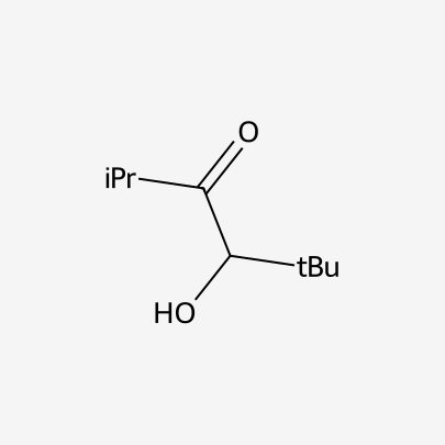 CC(C)C(=O)C(O)C(C)(C)C